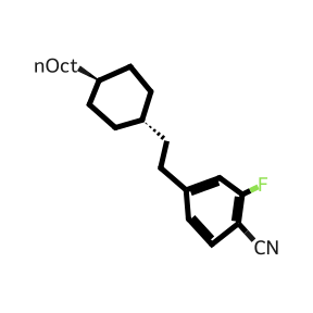 CCCCCCCC[C@H]1CC[C@H](CCc2ccc(C#N)c(F)c2)CC1